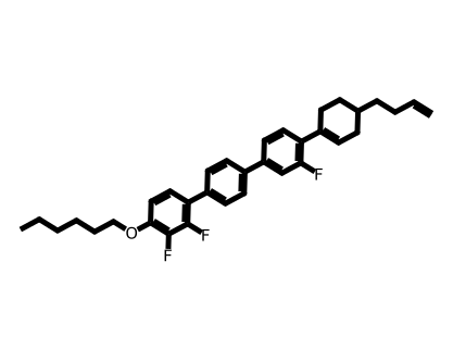 C=CCCC1CC=C(c2ccc(-c3ccc(-c4ccc(OCCCCCC)c(F)c4F)cc3)cc2F)CC1